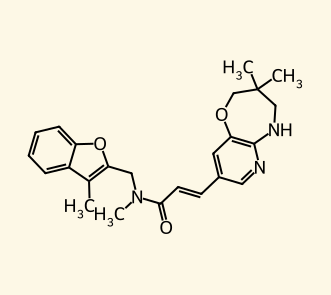 Cc1c(CN(C)C(=O)C=Cc2cnc3c(c2)OCC(C)(C)CN3)oc2ccccc12